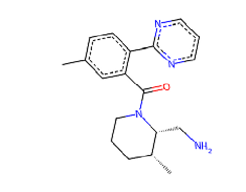 Cc1ccc(-c2ncccn2)c(C(=O)N2CCC[C@@H](C)[C@H]2CN)c1